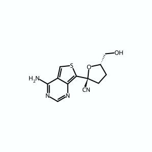 N#C[C@]1(c2scc3c(N)ncnc23)CC[C@@H](CO)O1